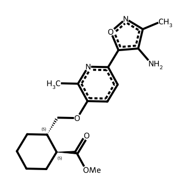 COC(=O)[C@H]1CCCC[C@@H]1COc1ccc(-c2onc(C)c2N)nc1C